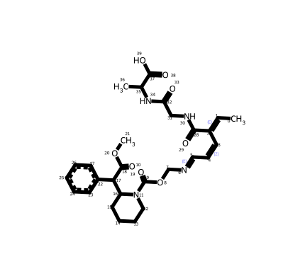 C\C=C(/C=C\C=N\COC(=O)N1CCCCC1C(C(=O)OC)c1ccccc1)C(=O)NCC(=O)NC(C)C(=O)O